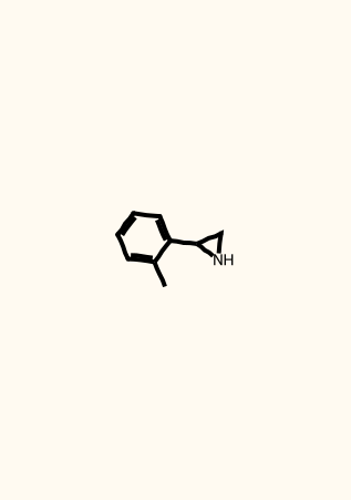 Cc1ccccc1C1CN1